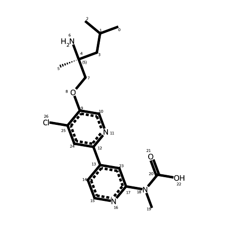 CC(C)C[C@](C)(N)COc1cnc(-c2ccnc(N(C)C(=O)O)c2)cc1Cl